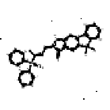 C=c1/c(=C\C=C(/C)P(=O)(c2ccccc2)c2ccccc2)sc2cc3c(cc12)C(C)(C)c1ccccc1-3